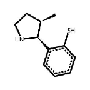 C[C@@H]1CCN[C@@H]1c1ccccc1S